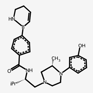 CC(C)[C@@H](CN1CCN(c2cccc(O)c2)[C@@H](C)C1)NC(=O)c1ccc(B2C=CCCN2)cc1